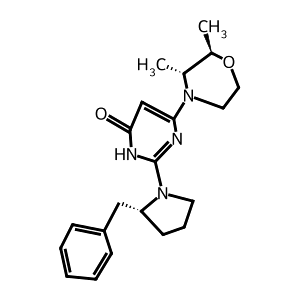 C[C@@H]1[C@@H](C)OCCN1c1cc(=O)[nH]c(N2CCC[C@@H]2Cc2ccccc2)n1